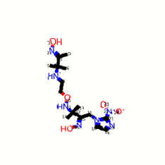 CC(=NO)C(C)(C)NCCONC(C)(C)C(Cn1ccnc1[N+](=O)[O-])=NO